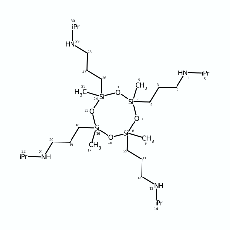 CC(C)NCCC[Si]1(C)O[Si](C)(CCCNC(C)C)O[Si](C)(CCCNC(C)C)O[Si](C)(CCCNC(C)C)O1